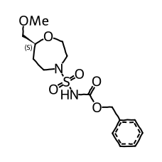 COC[C@@H]1CCN(S(=O)(=O)NC(=O)OCc2ccccc2)CCO1